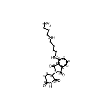 NCCCNCCCCNc1cccc2c1C(=O)N(C1CCC(=O)NC1=O)C2=O